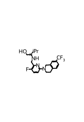 CC(C)[C@H](CO)NCc1nc(N2CCc3ccc(C(F)(F)F)cc3C2)ccc1F